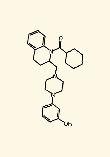 O=C(C1CCCCC1)N1c2ccccc2CCC1CN1CCN(c2cccc(O)c2)CC1